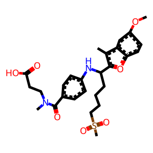 COc1ccc2oc(C(CCCCS(C)(=O)=O)Nc3ccc(C(=O)N(C)CCC(=O)O)cc3)c(C)c2c1